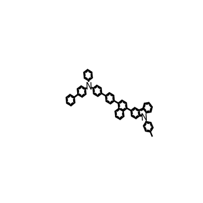 Cc1ccc(-n2c3ccccc3c3cc(-c4ccc(-c5ccc(-c6ccc(N(c7ccccc7)c7ccc(-c8ccccc8)cc7)cc6)cc5)c5ccccc45)ccc32)cc1